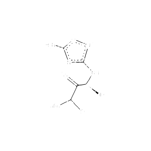 CCCCC(CC)C(=O)[C@@H](Nc1noc(N)n1)C(C)C